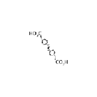 O=C(O)C=Cc1ccc(SSc2ccc(C=CC(=O)O)cc2)cc1